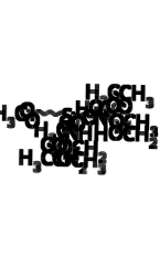 C=C(C)C(=O)OCC(C)(COC(=O)C(=C)C)NC(=O)OCC(CSCCCCCC(=O)OC)OC(=O)NC(C)(COC(=O)C(=C)C)COC(=O)C(=C)C